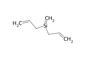 C=CC[Si](=C)CC=C